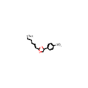 CCCCCCCCCCCCCC=CC1OCC(c2ccc([N+](=O)[O-])cc2)O1